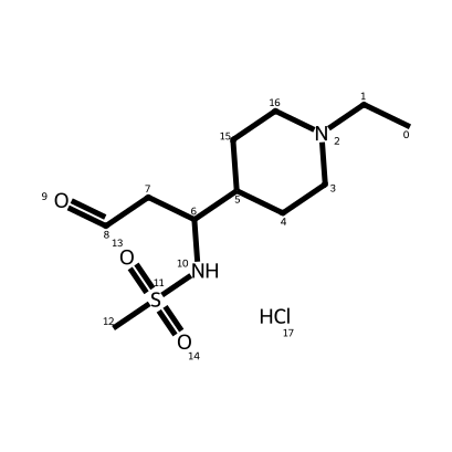 CCN1CCC(C(CC=O)NS(C)(=O)=O)CC1.Cl